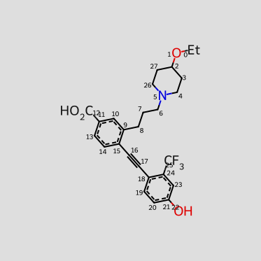 CCOC1CCN(CCCc2cc(C(=O)O)ccc2C#Cc2ccc(O)cc2C(F)(F)F)CC1